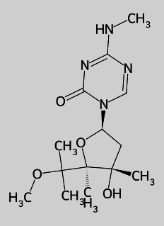 CNc1ncn([C@H]2C[C@](C)(O)[C@@](C)(C(C)(C)OC)O2)c(=O)n1